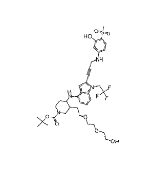 CC(C)(C)OC(=O)N1CCC(Nc2cccc3c2cc(C#CCNc2ccc(S(C)(=O)=O)c(O)c2)n3CC(F)(F)F)C(CCOCCOCCO)C1